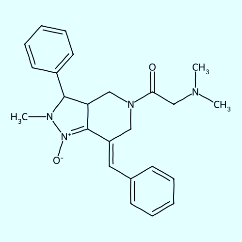 CN(C)CC(=O)N1C/C(=C\c2ccccc2)C2=[N+]([O-])N(C)C(c3ccccc3)C2C1